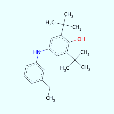 CCc1cccc(Nc2cc(C(C)(C)C)c(O)c(C(C)(C)C)c2)c1